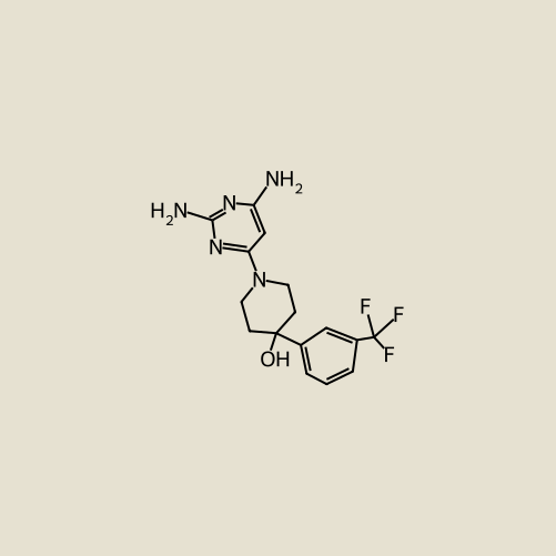 Nc1cc(N2CCC(O)(c3cccc(C(F)(F)F)c3)CC2)nc(N)n1